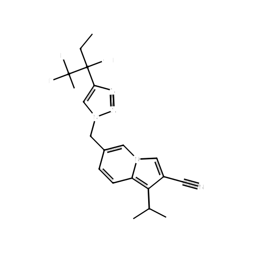 CCC(O)(c1cn(Cc2ccc3c(C(C)C)c(C#N)cn3c2)nn1)C(F)(F)F